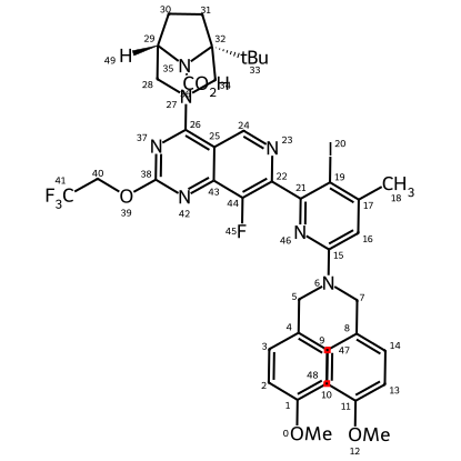 COc1ccc(CN(Cc2ccc(OC)cc2)c2cc(C)c(I)c(-c3ncc4c(N5C[C@@H]6CC[C@@](C(C)(C)C)(C5)N6C(=O)O)nc(OCC(F)(F)F)nc4c3F)n2)cc1